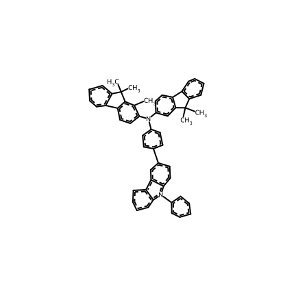 Cc1c(N(c2ccc(-c3ccc4c(c3)c3ccccc3n4-c3ccccc3)cc2)c2ccc3c(c2)C(C)(C)c2ccccc2-3)ccc2c1C(C)(C)c1ccccc1-2